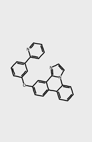 c1ccc(-c2cccc(Oc3ccc4c5ccccc5n5ccnc5c4c3)c2)nc1